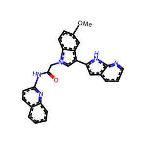 COc1ccc2c(c1)c(-c1cc3cccnc3[nH]1)cn2CC(=O)Nc1ccc2ccccc2n1